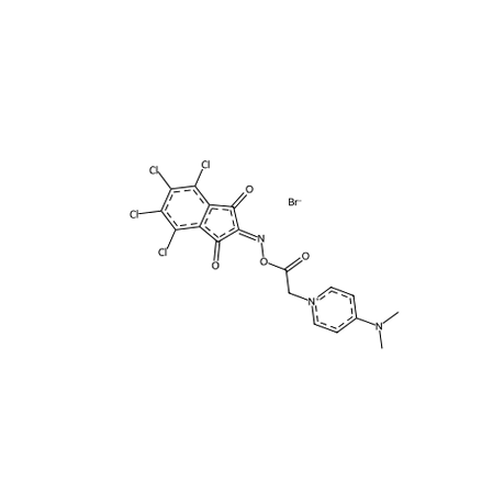 CN(C)c1cc[n+](CC(=O)ON=c2c(=O)c3c(Cl)c(Cl)c(Cl)c(Cl)c3c2=O)cc1.[Br-]